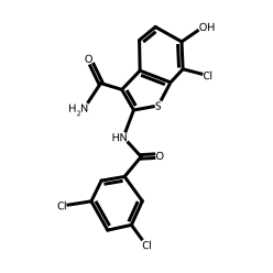 NC(=O)c1c(NC(=O)c2cc(Cl)cc(Cl)c2)sc2c(Cl)c(O)ccc12